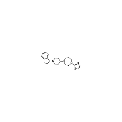 c1ccc2c(c1)CCC2N1CCC(N2CCCN(c3nccs3)CC2)CC1